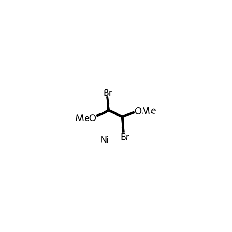 COC(Br)C(Br)OC.[Ni]